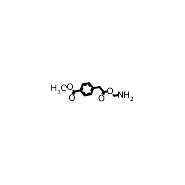 COC(=O)c1ccc(CC(=O)OCN)cc1